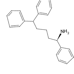 N[C@H](CCCC(c1ccccc1)c1ccccc1)c1ccccc1